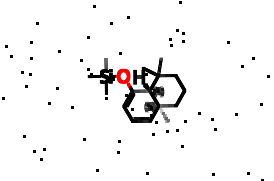 CC1(C)CCC[C@@]2(C)C=CC=C(O[Si](C)(C)C)[C@H]12